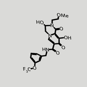 COCCN1C(=O)c2c(O)c(=O)c(C(=O)NCc3cccc(OC(F)(F)F)c3)cn2CC1O